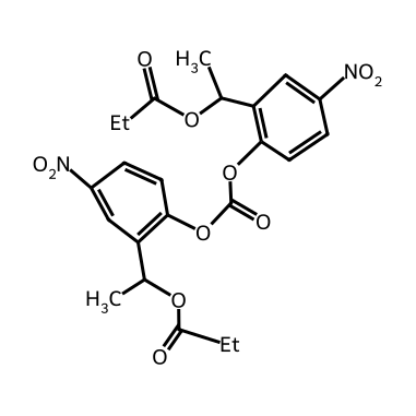 CCC(=O)OC(C)c1cc([N+](=O)[O-])ccc1OC(=O)Oc1ccc([N+](=O)[O-])cc1C(C)OC(=O)CC